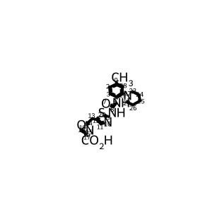 Cc1ccc(NC(=O)Nc2ncc(Cc3nc(C(=O)O)co3)s2)c(N2CCCCC2)c1